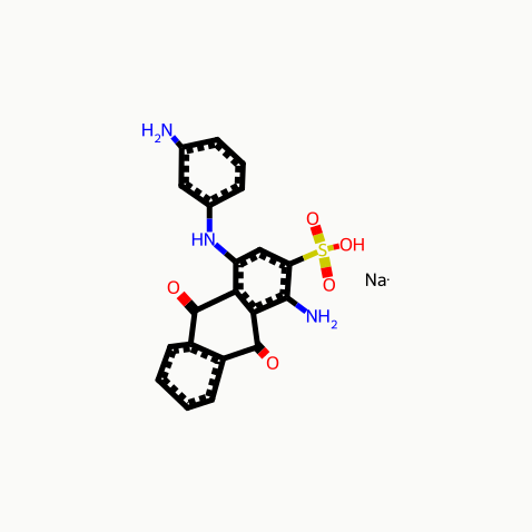 Nc1cccc(Nc2cc(S(=O)(=O)O)c(N)c3c2C(=O)c2ccccc2C3=O)c1.[Na]